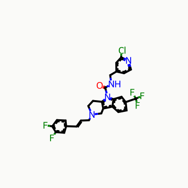 O=C(NCc1ccnc(Cl)c1)n1c2c(c3ccc(C(F)(F)F)cc31)CN(CC=Cc1ccc(F)c(F)c1)CC2